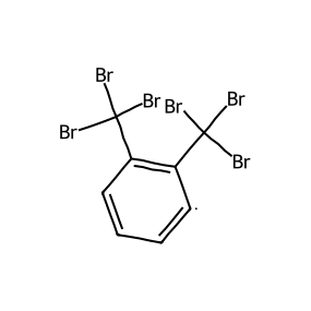 BrC(Br)(Br)c1[c]cccc1C(Br)(Br)Br